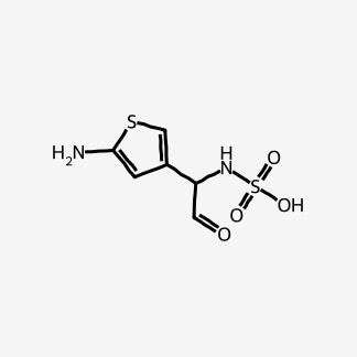 Nc1cc(C(C=O)NS(=O)(=O)O)cs1